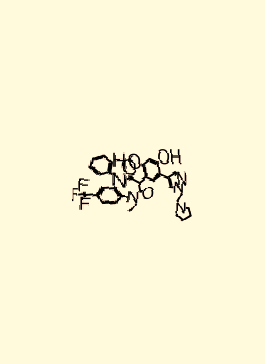 CCN1C(=O)C(c2cc(-c3cnn(CCN4CCCC4)c3)c(O)cc2O)C(=O)N(c2ccccc2)c2cc(C(F)(F)F)ccc21